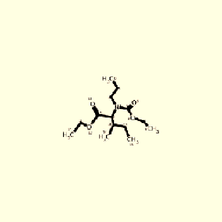 CCCN(C(=O)OCC)C(C(=O)OCC)C(C)CC